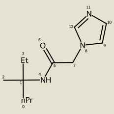 CCCC(C)(CC)NC(=O)Cn1ccnc1